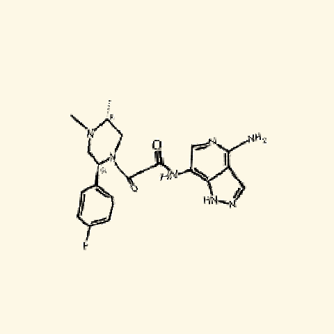 C[C@@H]1CN(C(=O)C(=O)Nc2cnc(N)c3cn[nH]c23)[C@@H](c2ccc(F)cc2)CN1C